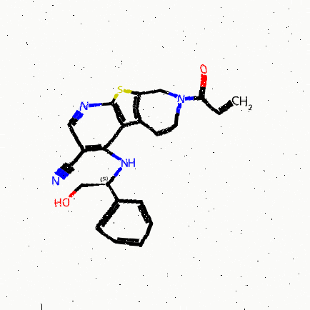 C=CC(=O)N1CCc2c(sc3ncc(C#N)c(N[C@H](CO)c4ccccc4)c23)C1